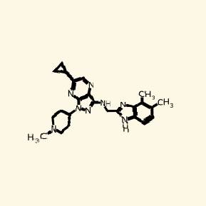 Cc1ccc2[nH]c(CNc3nn(C4CCN(C)CC4)c4nc(C5CC5)cnc34)nc2c1C